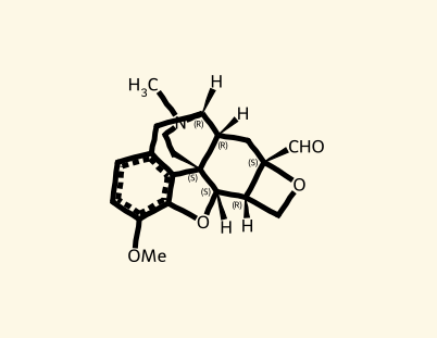 COc1ccc2c3c1O[C@H]1[C@H]4CO[C@@]4(C=O)C[C@H]4[C@@H](C2)N(C)CC[C@@]341